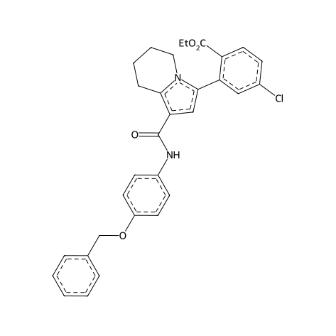 CCOC(=O)c1ccc(Cl)cc1-c1cc(C(=O)Nc2ccc(OCc3ccccc3)cc2)c2n1CCCC2